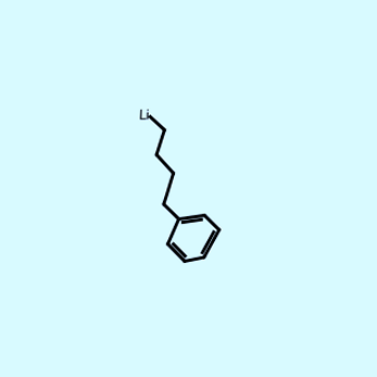 [Li][CH2]CCCc1ccccc1